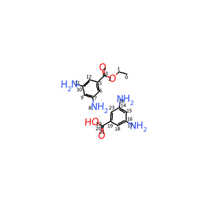 CCOC(=O)c1cc(N)cc(N)c1.Nc1cc(N)cc(C(=O)O)c1